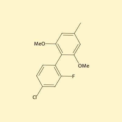 COc1cc(C)cc(OC)c1-c1ccc(Cl)cc1F